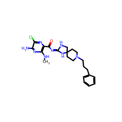 CNc1nc(N)c(Cl)nc1C(=O)/N=C1\NCC2(CCN(CCCc3ccccc3)CC2)N1